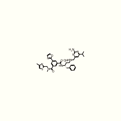 Cc1csc(CN(C)C(=O)c2cc(C(=O)N[C@@H](Cc3ccccc3)[C@H](O)CNCc3cc(C(C)C)nc(N)n3)cc(-c3ncco3)c2)n1